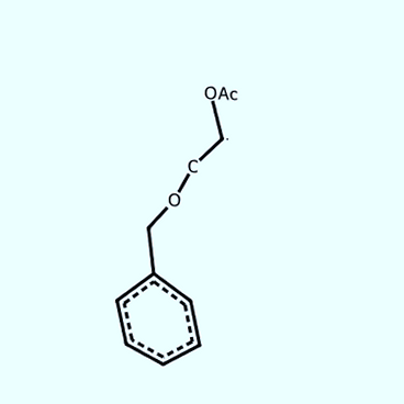 CC(=O)O[CH]COCc1ccccc1